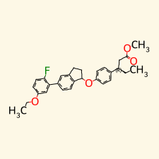 CCOc1ccc(F)c(-c2ccc3c(c2)CCC3Oc2ccc([C@H](CC)CC(=O)OC)cc2)c1